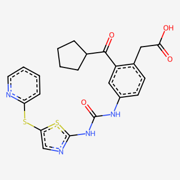 O=C(O)Cc1ccc(NC(=O)Nc2ncc(Sc3ccccn3)s2)cc1C(=O)C1CCCC1